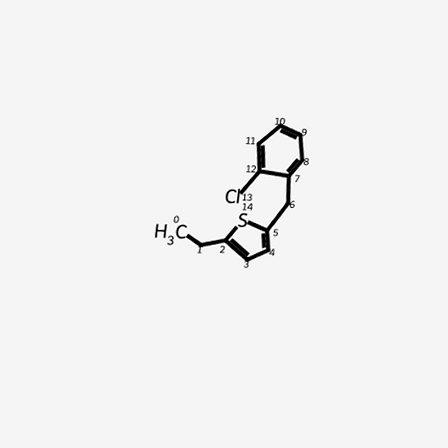 CCc1ccc(Cc2ccccc2Cl)s1